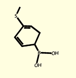 CSC1=CCC(B(O)O)C=C1